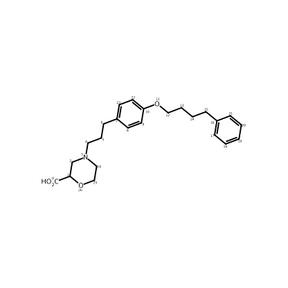 O=C(O)C1CN(CCCc2ccc(OCCCCc3ccccc3)cc2)CCO1